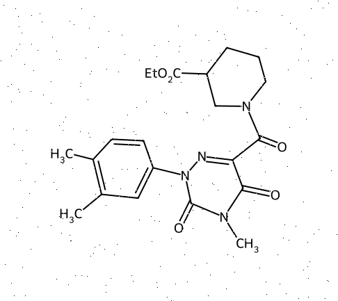 CCOC(=O)C1CCCN(C(=O)c2nn(-c3ccc(C)c(C)c3)c(=O)n(C)c2=O)C1